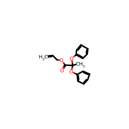 C=CCOC(=O)C(C)(Oc1ccccc1)Oc1ccccc1